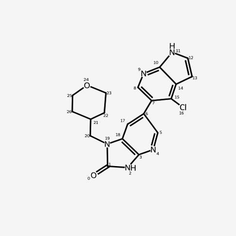 O=c1[nH]c2ncc(-c3cnc4[nH]ccc4c3Cl)cc2n1CC1CCOCC1